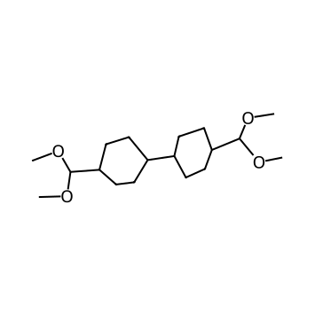 COC(OC)C1CCC(C2CCC(C(OC)OC)CC2)CC1